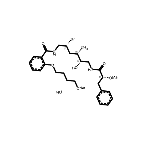 COCCCCOc1ccccc1C(=O)NC[C@@H](C[C@H](N)[C@@H](O)CNC(=O)[C@@H](Cc1ccccc1)OC)C(C)C.Cl